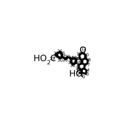 C[C@]1(O)CCC2C3CCC4=CC(=O)CCC4=C3[C@@H](c3ccc(/C=C/c4cccc(C(=O)O)c4)cc3)C[C@@]21C